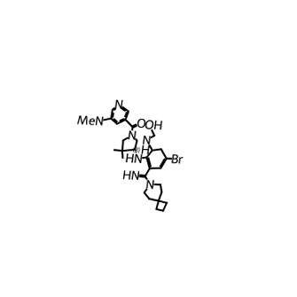 CNc1cncc(C(=O)N2C[C@H](NC3=C(C(=N)N4CCC5(CCC5)CC4)C=C(Br)CC3NCO)C(C)(C)C2)c1